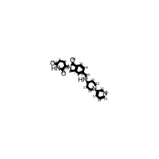 O=C1CCC(N2Cc3cc(CNC4CCN(c5cccnc5)CC4)ccc3C2=O)C(=O)N1